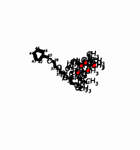 CN(C)P(C)(=N[PH](N=P(C)(C)C)(N=P(C)(N(C)C)N(C)C)N=P(N(C)C)(N(C)C)N(C)CCOCCOCCOCc1ccccc1)N(C)C